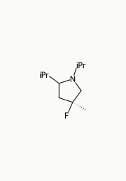 CC(C)C1C[C@](C)(F)CN1C(C)C